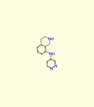 c1cc2c(c(Nc3ccnnc3)c1)CNCC2